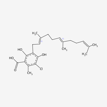 CC(C)=CCC/C(C)=C/CC/C(C)=C/Cc1c(O)c(Cl)c(C)c(C(=O)O)c1O